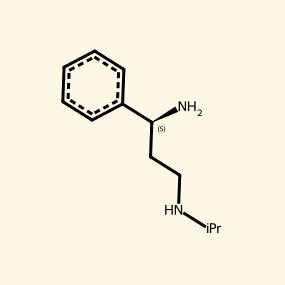 CC(C)NCC[C@H](N)c1ccccc1